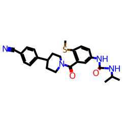 CSc1ccc(NC(=O)NC(C)C)cc1C(=O)N1CCC(c2ccc(C#N)cc2)CC1